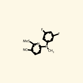 CSc1nc(N(C)c2cc(F)cc(F)c2)ccc1C#N